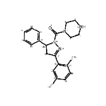 O=C(N1CCNCC1)N1N=C(c2cc(F)ccc2F)CC1c1ccccc1